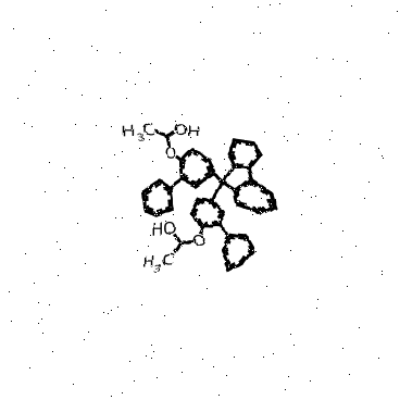 CC(O)Oc1ccc(C2(c3ccc(OC(C)O)c(-c4ccccc4)c3)c3ccccc3-c3ccccc32)cc1-c1ccccc1